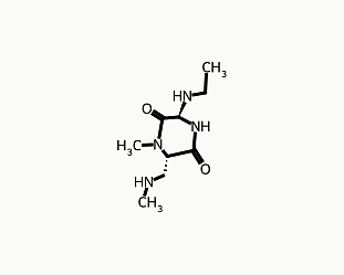 CCN[C@H]1NC(=O)[C@H](CNC)N(C)C1=O